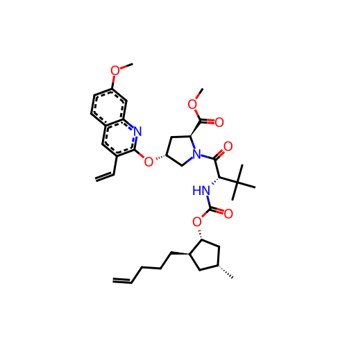 C=CCCC[C@@H]1C[C@@H](C)C[C@H]1OC(=O)N[C@H](C(=O)N1C[C@H](Oc2nc3cc(OC)ccc3cc2C=C)C[C@H]1C(=O)OC)C(C)(C)C